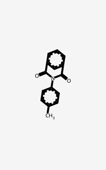 Cc1ccc(N2C(=O)c3cccc(c3)C2=O)cc1